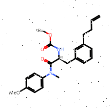 C=CCCc1cccc(C[C@H](NC(=O)OC(C)(C)C)C(=O)N(C)c2ccc(OC)cc2)c1